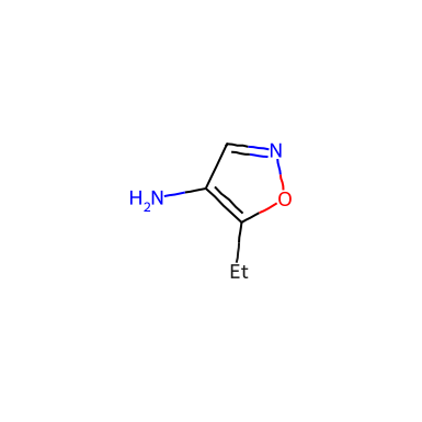 CCc1oncc1N